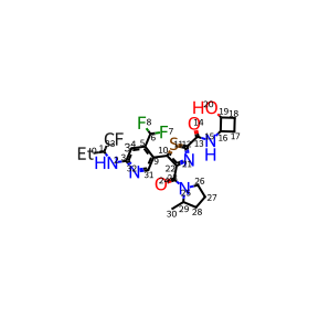 CCC(Nc1cc(C(F)F)c(-c2sc(C(=O)NC3CCC3O)nc2C(=O)N2CCCC2C)cn1)C(F)(F)F